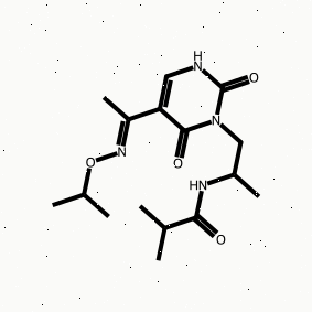 CC(=NOC(C)C)c1c[nH]c(=O)n(CC(C)NC(=O)C(C)C)c1=O